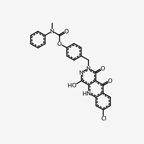 CN(C(=O)Oc1ccc(Cn2nc(O)c3[nH]c4cc(Cl)ccc4c(=O)c3c2=O)cc1)c1ccccc1